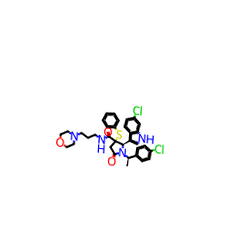 C[C@H](c1ccc(Cl)cc1)N1C(=O)C[C@](Sc2ccccc2)(C(=O)NCCCN2CCOCC2)[C@H]1c1c[nH]c2cc(Cl)ccc12